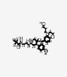 COCCCN1CCOc2ccc(CO[C@H]3CN[C@H](CCCNC(=O)C(C)(C)C)C[C@@H]3c3ccc(OC)cc3)cc21